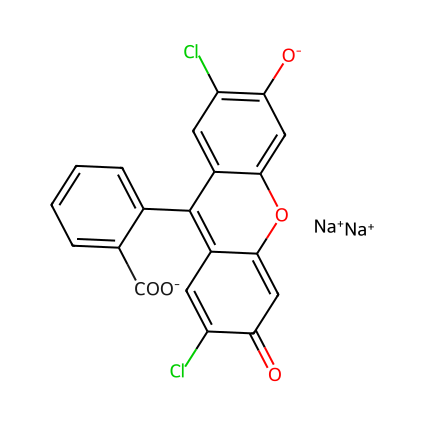 O=C([O-])c1ccccc1-c1c2cc(Cl)c(=O)cc-2oc2cc([O-])c(Cl)cc12.[Na+].[Na+]